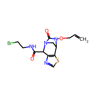 C=CCON1C(=O)N2CC1c1scnc1C2C(=O)NCCBr